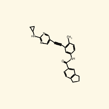 Cc1ccc(NC(=O)c2ccc3c(c2)CCC3)cc1C#Cc1cnc(NC2CC2)nc1